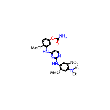 CCN(CC)c1cc(OC)c(Nc2nccc(Nc3cc(OC(N)=O)ccc3OC)n2)cc1[N+](=O)[O-]